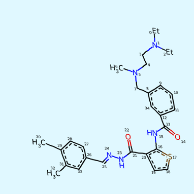 CCN(CC)CCN(C)Cc1cccc(C(=O)Nc2sccc2C(=O)NN=Cc2ccc(C)c(C)c2)c1